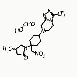 CC1CC(=O)N(C2(C[N+](=O)[O-])CCC(N3CCn4c(nnc4C(F)(F)F)C3)CC2)C1.O=CO